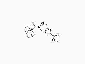 CN(Cc1ccc([S+](C)[O-])s1)C(=O)C12CC3CC(CC(C3)C1)C2